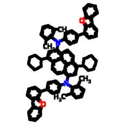 Cc1cccc(C)c1N(c1ccc(-c2cccc3c2oc2ccccc23)cc1)c1cc(C2CCCCC2)c2ccc3c(N(c4ccc(-c5cccc6c5oc5ccccc56)cc4)c4c(C)cccc4C)cc(C4CCCCC4)c4ccc1c2c43